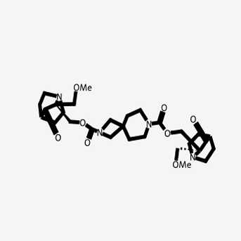 COC[C@]1(COC(=O)N2CCC3(CC2)CN(C(=O)OC[C@@]2(COC)C(=O)C4CCN2CC4)C3)C(=O)C2CCN1CC2